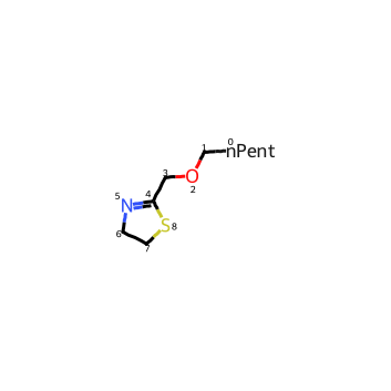 CCCCCCOCC1=NCCS1